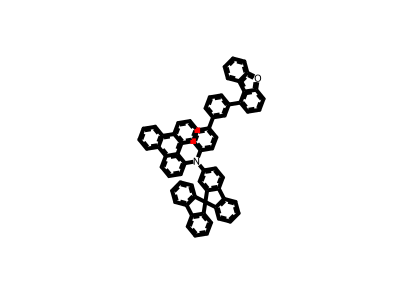 c1cc(-c2ccc(N(c3ccc4c(c3)C3(c5ccccc5-c5ccccc53)c3ccccc3-4)c3cccc4c5ccccc5c5ccccc5c34)cc2)cc(-c2cccc3oc4ccccc4c23)c1